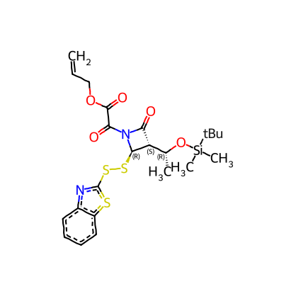 C=CCOC(=O)C(=O)N1C(=O)[C@H]([C@@H](C)O[Si](C)(C)C(C)(C)C)[C@H]1SSc1nc2ccccc2s1